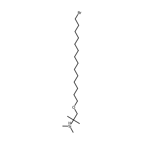 C[SiH](C)C(C)(C)COCCCCCCCCCCCCCCBr